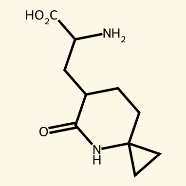 NC(CC1CCC2(CC2)NC1=O)C(=O)O